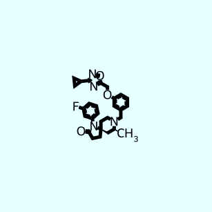 C[C@@H]1C[C@]2(CCC(=O)N2c2cccc(F)c2)CCN1Cc1cccc(OCc2nc(C3CC3)no2)c1